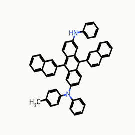 Cc1ccc(N(c2ccccc2)c2ccc3c(-c4ccc5ccccc5c4)c4cc(Nc5ccccc5)ccc4c(-c4ccc5ccccc5c4)c3c2)cc1